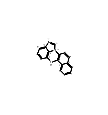 c1ccc2c3c(ccc2c1)-n1cnc2cccc(c21)O3